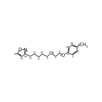 Cc1ccc(OCCOCCCCCc2ccon2)cc1